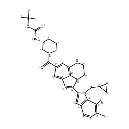 CC(C)(C)OC(=O)N[C@@H]1CCCN(C(=O)c2cc3c4c(c2)nc(-c2cc5ccc(F)c(Cl)c5n2CC2CC2)n4CCO3)C1